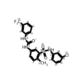 Cc1ccc(NC(=O)Nc2cccc(C(F)(F)F)c2)cc1S(=O)(=O)Nc1cccc(Cl)c1